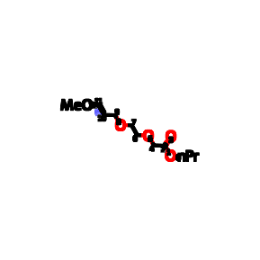 CCCOC(=O)COCCOC/C=C/OC